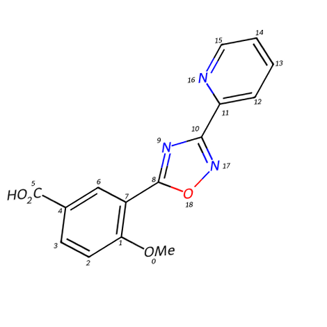 COc1ccc(C(=O)O)cc1-c1nc(-c2ccccn2)no1